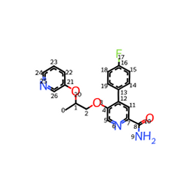 CC(COc1cnc(C(N)=O)cc1-c1ccc(F)cc1)Oc1cccnc1